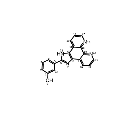 Oc1cccc(-c2nc3c4cccnc4c4ncccc4c3[nH]2)c1